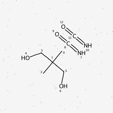 CC(C)(CO)CO.N=C=O.N=C=O